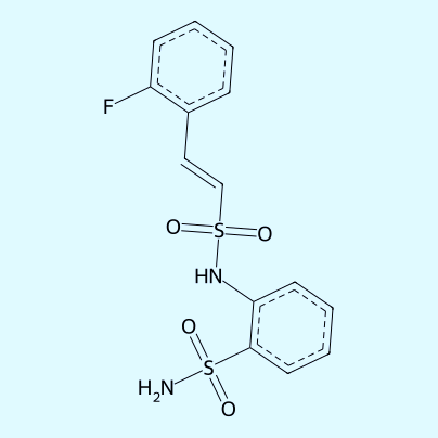 NS(=O)(=O)c1ccccc1NS(=O)(=O)C=Cc1ccccc1F